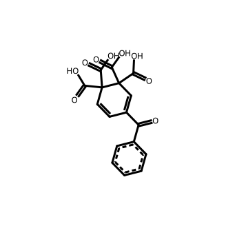 O=C(C1=CC(C(=O)O)(C(=O)O)C(C(=O)O)(C(=O)O)C=C1)c1ccccc1